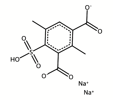 Cc1cc(C(=O)[O-])c(C)c(C(=O)[O-])c1S(=O)(=O)O.[Na+].[Na+]